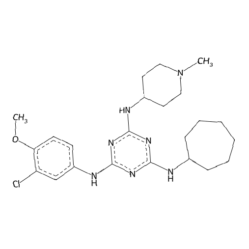 COc1ccc(Nc2nc(NC3CCCCCC3)nc(NC3CCN(C)CC3)n2)cc1Cl